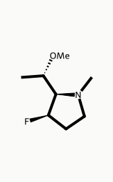 CO[C@@H](C)[C@@H]1[C@H](F)CCN1C